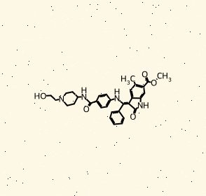 COC(=O)c1cc2c(cc1C)/C(=C(\Nc1ccc(C(=O)NC3CCN(CCO)CC3)cc1)c1ccccc1)C(=O)N2